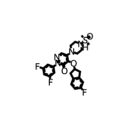 C[SH](C)(=O)N1CCN(c2cnn(-c3cc(F)cc(F)c3)c(=O)c2OC2Cc3ccc(F)cc3C2)CC1